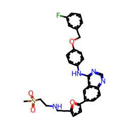 CS(=O)(=O)CCNCc1ccc(-c2ccc3ncnc(Nc4ccc(OCc5cccc(F)c5)cc4)c3c2)o1